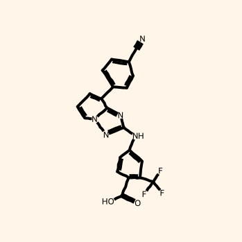 N#Cc1ccc(-c2cccn3nc(Nc4ccc(C(=O)O)c(C(F)(F)F)c4)nc23)cc1